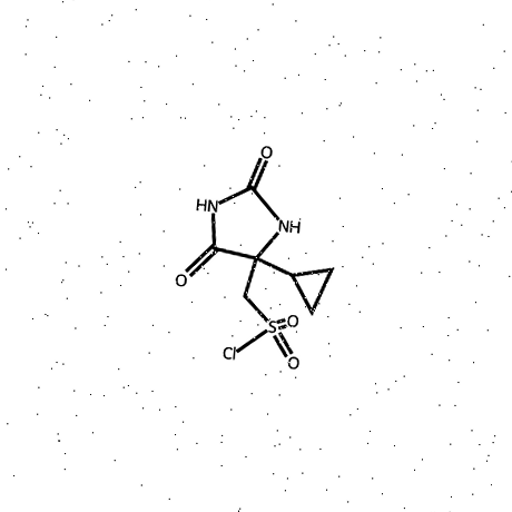 O=C1NC(=O)C(CS(=O)(=O)Cl)(C2CC2)N1